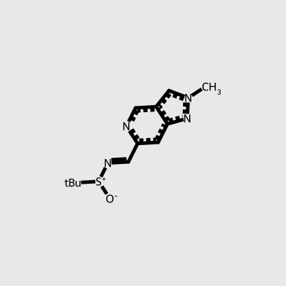 Cn1cc2cnc(C=N[S+]([O-])C(C)(C)C)cc2n1